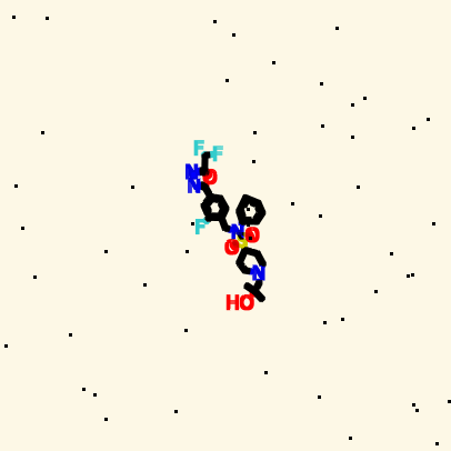 CC(C)(O)CN1CCC(S(=O)(=O)N(Cc2ccc(-c3nnc(C(F)F)o3)cc2F)c2ccccc2)CC1